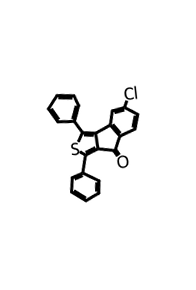 O=C1c2ccc(Cl)cc2-c2c(-c3ccccc3)sc(-c3ccccc3)c21